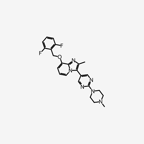 Cc1nc2c(OCc3c(F)cccc3F)cccn2c1-c1cnc(N2CCN(C)CC2)nc1